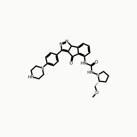 COC[C@H]1CCCN1NC(=O)Nc1cccc2c1C(=O)C1=C(c3ccc(N4CCNCC4)cc3)N=NC12